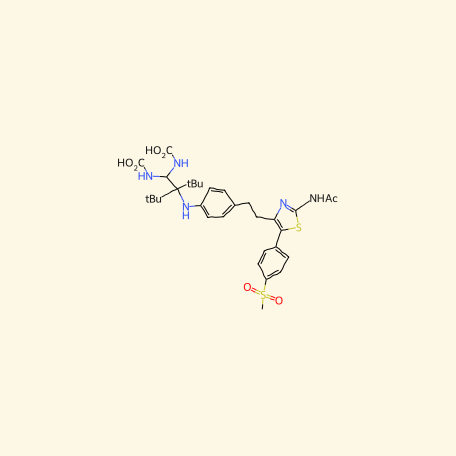 CC(=O)Nc1nc(CCc2ccc(NC(C(NC(=O)O)NC(=O)O)(C(C)(C)C)C(C)(C)C)cc2)c(-c2ccc(S(C)(=O)=O)cc2)s1